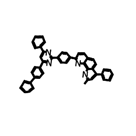 Cc1cc(-c2ccccc2)c2ccc3ccc(-c4ccc(-c5nc(-c6ccccc6)cc(-c6ccc(-c7ccccc7)cc6)n5)cc4)nc3c2n1